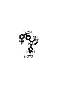 C[C@@](O)(c1ccc(-c2nc(C3C[C@@H]4[C@H](C3)[C@H]4C(=O)O)n3ccnc(N)c23)cc1)c1cccc(C(F)(F)F)c1